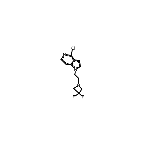 FC1(F)CN(CCn2ccc3c(Cl)nccc32)C1